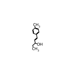 CCC(O)C=Cc1ccc(C)cc1